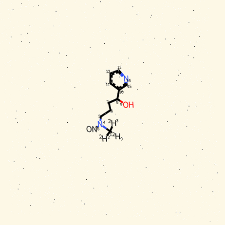 [2H]C([2H])([2H])N(CCCC(O)c1cccnc1)N=O